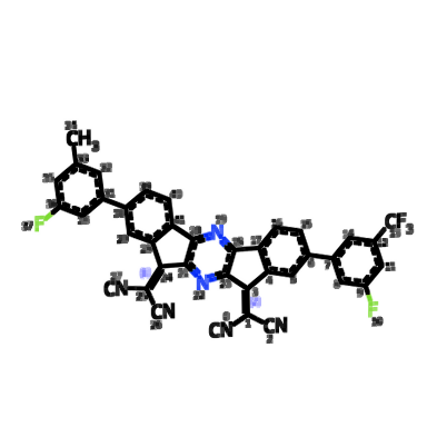 [C-]#[N+]/C(C#N)=C1/c2cc(-c3cc(F)cc(C(F)(F)F)c3)ccc2-c2nc3c(nc21)/C(=C(\C#N)[N+]#[C-])c1cc(-c2cc(C)cc(F)c2)ccc1-3